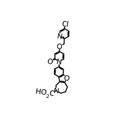 O=C(O)N1CCCc2oc3cc(-n4ccc(OCc5ccc(Cl)cn5)cc4=O)ccc3c2C1